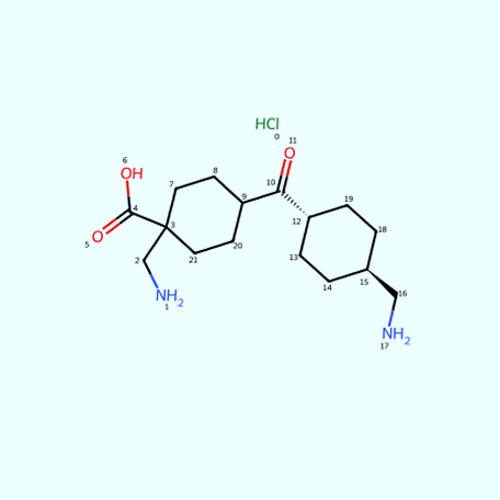 Cl.NCC1(C(=O)O)CCC(C(=O)[C@H]2CC[C@H](CN)CC2)CC1